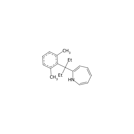 CCC(CC)(C1=CC=CC=CN1)c1c(C)cccc1C